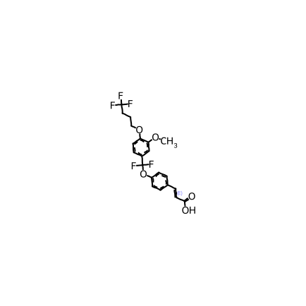 COc1cc(C(F)(F)Oc2ccc(/C=C/C(=O)O)cc2)ccc1OCCCC(F)(F)F